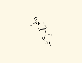 COC(=O)c1ccn([N+](=O)[O-])n1